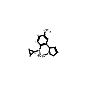 O=C(O)N1CC=CC1c1cc([N+](=O)[O-])ccc1SC1CC1